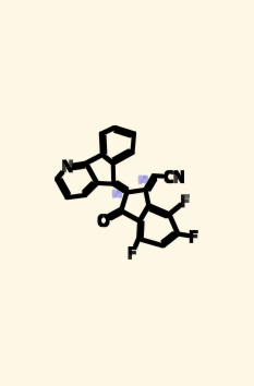 N#C/C=C1/C(=C2\c3ccccc3-c3ncccc32)C(=O)c2c(F)cc(F)c(F)c21